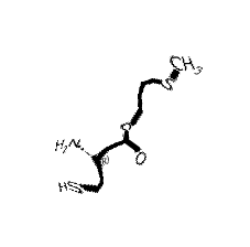 CSCCOC(=O)[C@@H](N)CS